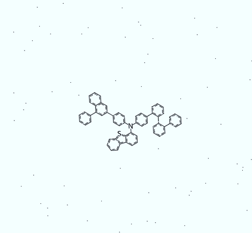 c1ccc(-c2ccccc2-c2ccccc2-c2ccc(N(c3ccc(-c4cc(-c5ccccc5)c5ccccc5c4)cc3)c3cccc4c3sc3ccccc34)cc2)cc1